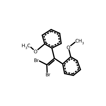 COc1ccccc1C(=C(Br)Br)c1ccccc1OC